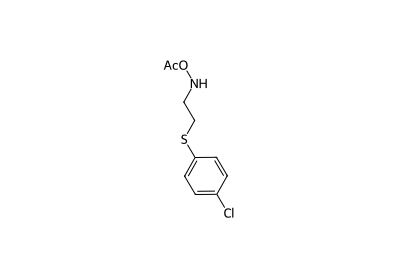 CC(=O)ONCCSc1ccc(Cl)cc1